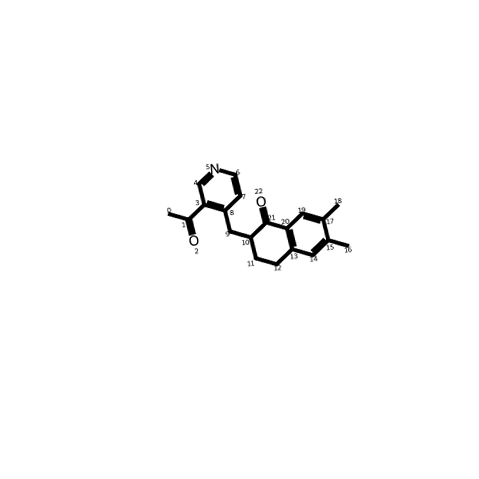 CC(=O)c1cnccc1CC1CCc2cc(C)c(C)cc2C1=O